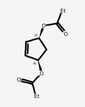 CCC(=O)O[C@@H]1C=C[C@H](OC(=O)CC)C1